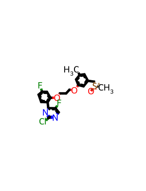 Cc1cc(C[S+](C)[O-])cc(OCCCOc2cc(F)ccc2-c2nc(Cl)ncc2F)c1